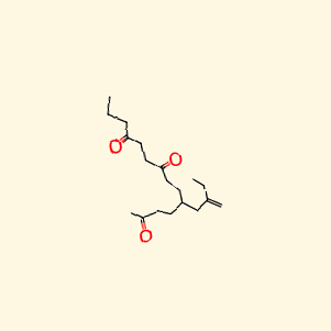 C=C(CC)CC(CCC(C)=O)CCC(=O)CCC(=O)CCC